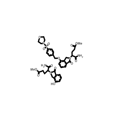 COC(=O)CCC(C(N)=O)N1Cc2c(O)cccc2C1=O.COC(=O)CCC(C(N)=O)N1Cc2c(OCc3ccc(S(=O)(=O)N4CCOCC4)cc3)cccc2C1=O